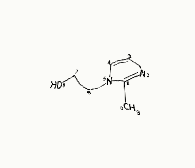 Cc1nccn1CCO